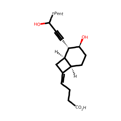 CCCCCC(O)C#C[C@H]1[C@@H]2C/C(=C/CCC(=O)O)[C@@H]2CC[C@@H]1O